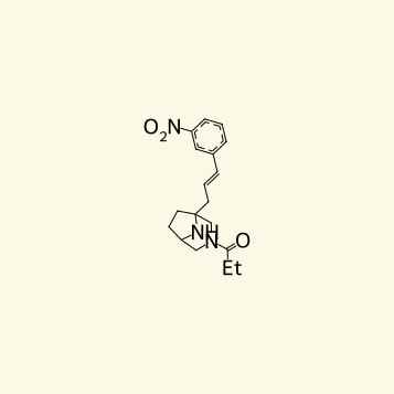 CCC(=O)N1CC2CCC(CC=Cc3cccc([N+](=O)[O-])c3)(C1)N2